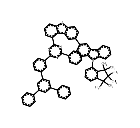 CC1(C)c2cccc(-n3c4ccccc4c4cc(-c5ccc6sc7cccc(-c8nc(-c9ccccc9)nc(-c9cccc(-c%10cc(-c%11ccccc%11)cc(-c%11ccccc%11)c%10)c9)n8)c7c6c5)ccc43)c2C(C)(C)C1(C)C